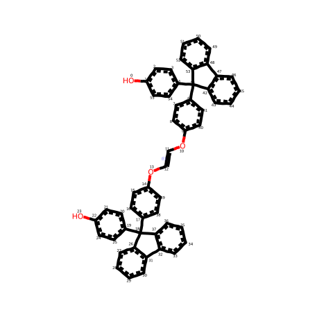 Oc1ccc(C2(c3ccc(O/C=C/Oc4ccc(C5(c6ccc(O)cc6)c6ccccc6-c6ccccc65)cc4)cc3)c3ccccc3-c3ccccc32)cc1